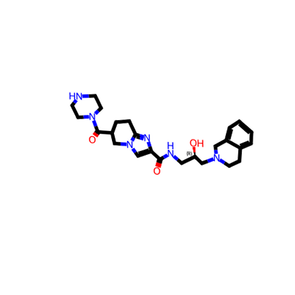 O=C(NC[C@@H](O)CN1CCc2ccccc2C1)c1cn2c(n1)CCC(C(=O)N1CCNCC1)C2